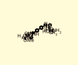 COC(=O)N[C@H](C(=O)N1CCCC1c1ncc(-c2ccc(-c3ccc(-c4cnc([C@@H]5CCCN5C(=O)[C@@H](OC(N)=O)[C@@H](C)O)[nH]4)cc3)cc2)[nH]1)[C@@H](C)O